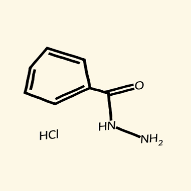 Cl.NNC(=O)c1ccccc1